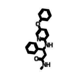 CNC(=O)CC(Nc1ccc(Oc2ccccc2)cn1)c1ccccc1